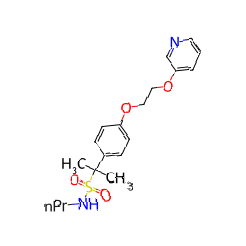 CCCNS(=O)(=O)C(C)(C)c1ccc(OCCOc2cccnc2)cc1